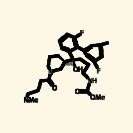 CNCCCC(=O)N1CCC[C@@H]([C@@](O)(CCCNC(=O)OC)c2cccc(F)c2-c2cc(C)cc(F)c2)C1